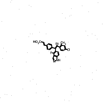 CCC(=C(c1ccc(C=CC(=O)O)cc1)c1ccc2[nH]ncc2c1F)c1ccc(Cl)cc1C